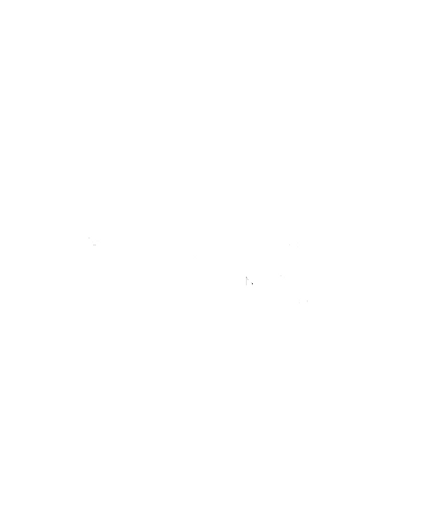 COC(=O)NC1COc2cc(Br)ccc21